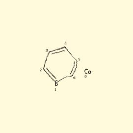 [Co].b1ccccc1